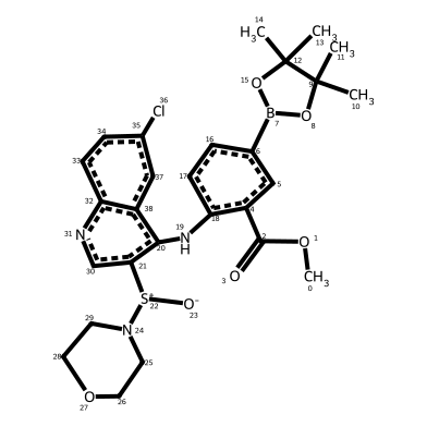 COC(=O)c1cc(B2OC(C)(C)C(C)(C)O2)ccc1Nc1c([S+]([O-])N2CCOCC2)cnc2ccc(Cl)cc12